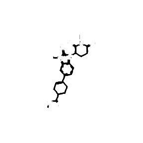 COC(=O)C1CC=C(c2ccc3c(c2)n(C)c(=O)n3C2CCC(=O)NC2=O)CC1